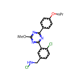 CCCOc1ccc(-c2nc(OC)nc(-c3cc(CNCl)ccc3Cl)n2)cc1